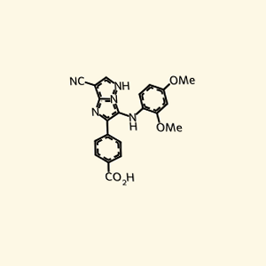 COc1ccc(Nc2c(-c3ccc(C(=O)O)cc3)nc3c(C#N)c[nH]n23)c(OC)c1